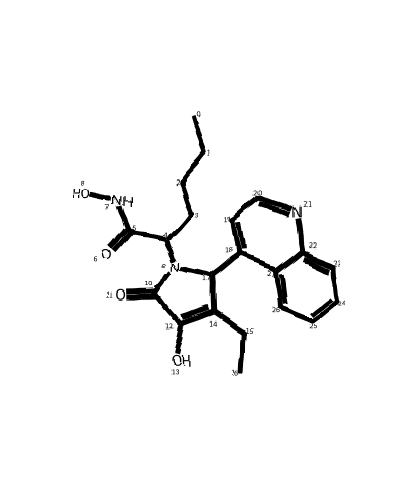 CCCCC(C(=O)NO)N1C(=O)C(O)=C(CC)C1c1ccnc2ccccc12